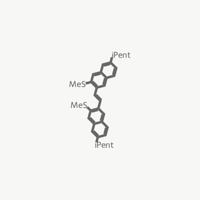 CCCC(C)c1ccc2cc(/C=C/c3cc4ccc(C(C)CCC)cc4cc3SC)c(SC)cc2c1